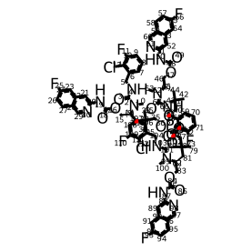 CN(C(=O)NCc1cccc(F)c1Cl)[C@H](COC(=O)Nc1cc2cc(F)ccc2cn1)CC(C)(C)COP(=O)(OCC(C)(C)C[C@@H](COC(=O)Nc1cc2cc(F)ccc2cn1)N(C)C(=O)NCc1cccc(F)c1Cl)OCC(C)(C)C[C@@H](COC(=O)Nc1cc2cc(F)ccc2cn1)N(C)C(=O)NCc1cccc(F)c1Cl